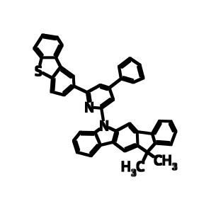 CC1(C)c2ccccc2-c2cc3c(cc21)c1ccccc1n3-c1cc(-c2ccccc2)cc(-c2ccc3sc4ccccc4c3c2)n1